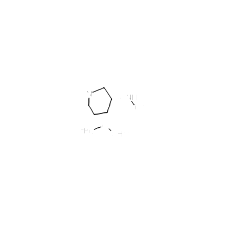 CC(C)(C)OC=O.CC(C)N[C@@H]1CCCNC1